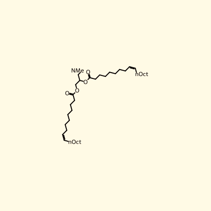 CCCCCCCC/C=C\CCCCCCCC(=O)OCC(CNC)OC(=O)CCCCCCC/C=C\CCCCCCCC